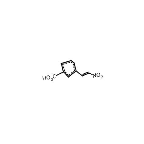 O=C(O)c1cccc(/C=C/[N+](=O)[O-])c1